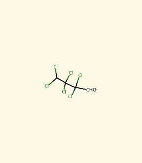 O=[C]C(Cl)(Cl)C(Cl)(Cl)C(Cl)Cl